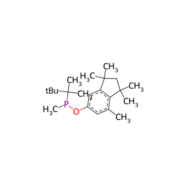 Cc1cc(OP(C)C(C)(C)C(C)(C)C)cc2c1C(C)(C)CC2(C)C